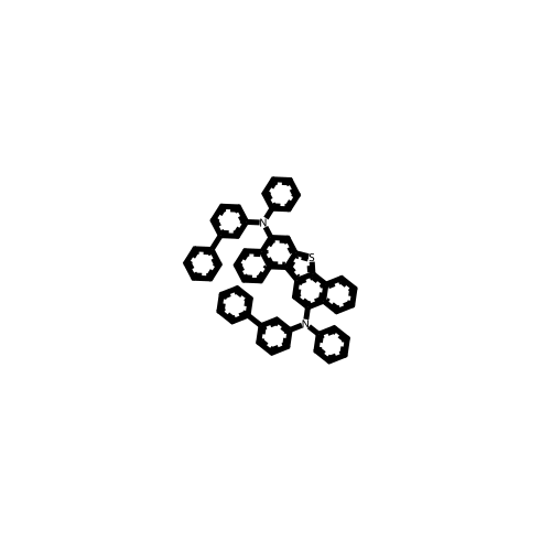 c1ccc(-c2cccc(N(c3ccccc3)c3cc4c(sc5cc(N(c6ccccc6)c6cccc(-c7ccccc7)c6)c6ccccc6c54)c4ccccc34)c2)cc1